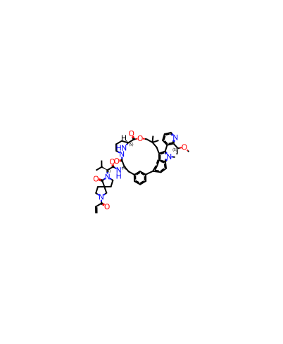 C=CC(=O)N1CCC2(CCN([C@H](C(=O)N[C@H]3Cc4cccc(c4)-c4ccc5c(c4)c(c(-c4cccnc4[C@H](C)OC)n5C)CC(C)(C)COC(=O)[C@@H]4CCCN(N4)C3=O)C(C)C)C2=O)C1